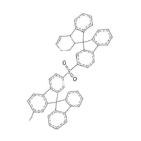 Cc1ccc2c(c1)C1(c3ccccc3-c3ccccc31)c1cc(S(=O)(=O)c3ccc4c(c3)C3(c5ccccc5-4)c4ccccc4C4C=CCCC43)ccc1-2